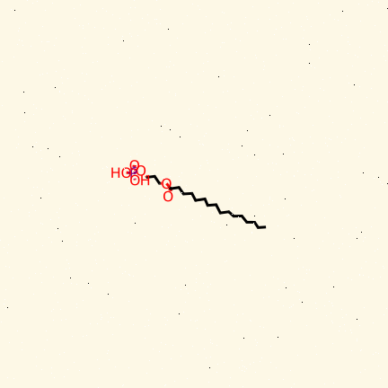 CCCCCCCCCCCCCCCC(=O)OCCCOP(=O)(O)O